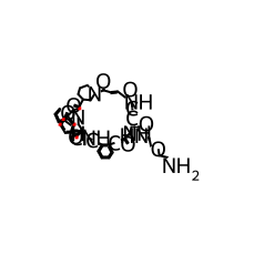 NCCOCCNC(=O)[C@@H]1CCNC(=O)/C=C/C(=O)N2CCC[C@@](CCc3cccc(Cl)c3)(C2)C(=O)N[C@@H](Cc2ccco2)C(=O)NCc2ccccc2CC(=O)N1